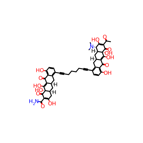 CC(=O)C1=C(O)[C@@H](N(C)C)[C@@H]2C[C@@H]3Cc4c(C#CCCCCC#Cc5ccc(O)c6c5C[C@H]5C[C@H]7CC(O)=C(C(N)=O)C(=O)[C@@]7(O)C(O)=C5C6=O)ccc(O)c4C(=O)C3=C(O)[C@]2(O)C1=O